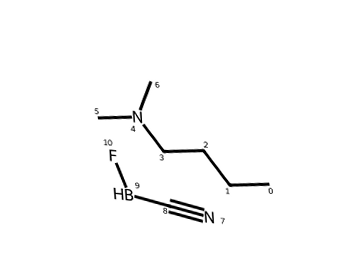 CCCCN(C)C.N#CBF